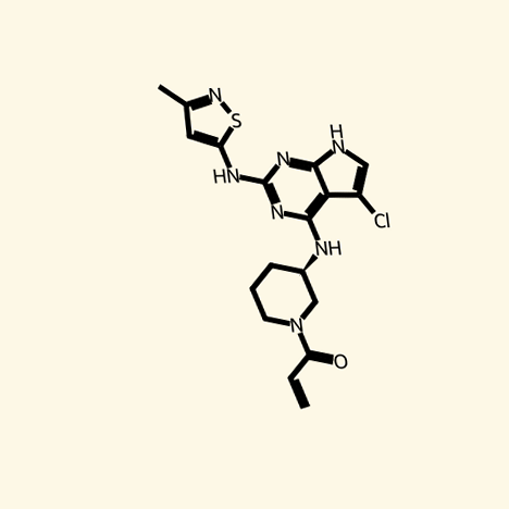 C=CC(=O)N1CCC[C@@H](Nc2nc(Nc3cc(C)ns3)nc3[nH]cc(Cl)c23)C1